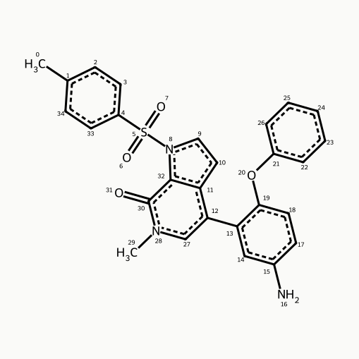 Cc1ccc(S(=O)(=O)n2ccc3c(-c4cc(N)ccc4Oc4ccccc4)cn(C)c(=O)c32)cc1